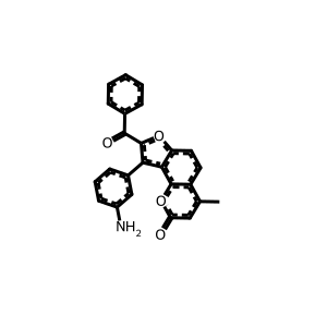 Cc1cc(=O)oc2c1ccc1oc(C(=O)c3ccccc3)c(-c3cccc(N)c3)c12